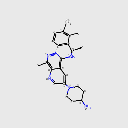 Cc1c([C@@H](C)Nc2nnc(C)c3ncc(N4CCC(N)CC4)cc23)cccc1C(F)(F)F